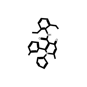 CCc1cccc(CC)c1NC(=O)c1c(-c2cccc(C)c2)n(-c2ccccc2)c(C)cc1=O